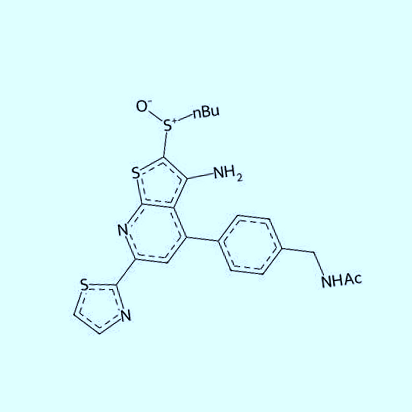 CCCC[S+]([O-])c1sc2nc(-c3nccs3)cc(-c3ccc(CNC(C)=O)cc3)c2c1N